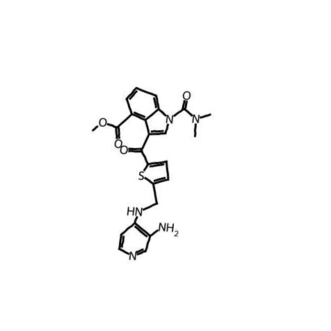 COC(=O)c1cccc2c1c(C(=O)c1ccc(CNc3ccncc3N)s1)cn2C(=O)N(C)C